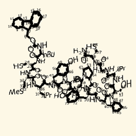 CCCC[C@H](NC(=O)OCC1c2ccccc2-c2ccccc21)C(=O)N[C@@H](CS)C(=O)N[C@@H](CCSC)C(=O)N[C@@H](CC(C)C)C(=O)N[C@@H](Cc1ccc(O)cc1)C(=O)N[C@H](C(=O)N[C@H](C(=O)N1CCC[C@H]1C(=O)N[C@@H](Cc1ccc(O)cc1)C(=O)N[C@@H](Cc1ccccc1)C(=O)N[C@@H](CO)C(=O)N[C@H](C(=O)NCC(=O)N[C@@H](CS)C(N)=O)C(C)C)C(C)C)[C@@H](C)CC